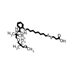 COCC(C)(C)COCC(C)(C)NC(=O)c1ccccc1NCCCCCCCCSSCCC(=O)O